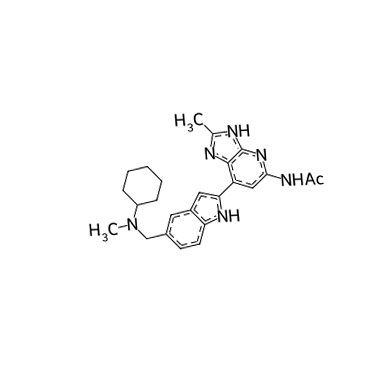 CC(=O)Nc1cc(-c2cc3cc(CN(C)C4CCCCC4)ccc3[nH]2)c2nc(C)[nH]c2n1